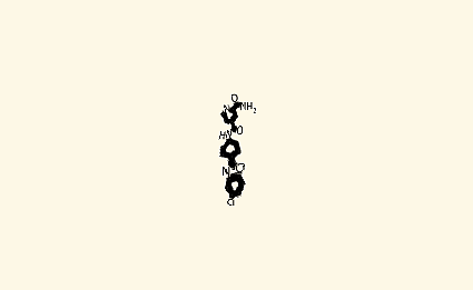 NC(=O)c1cc(C(=O)NC2CCC(c3nc4cc(Cl)ccc4o3)CC2)ccn1